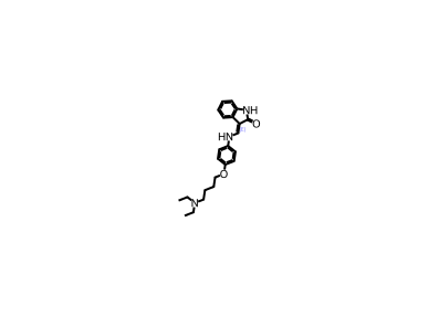 CCN(CC)CCCCOc1ccc(N/C=C2/C(=O)Nc3ccccc32)cc1